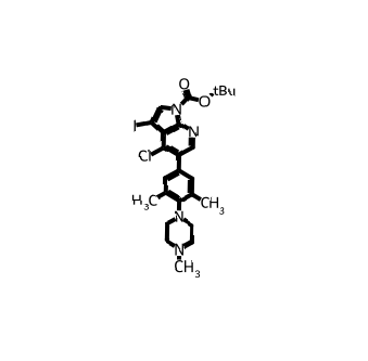 Cc1cc(-c2cnc3c(c(I)cn3C(=O)OC(C)(C)C)c2Cl)cc(C)c1N1CCN(C)CC1